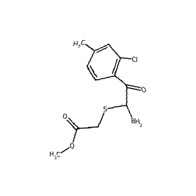 BC(SCC(=O)OC)C(=O)c1ccc(C)cc1Cl